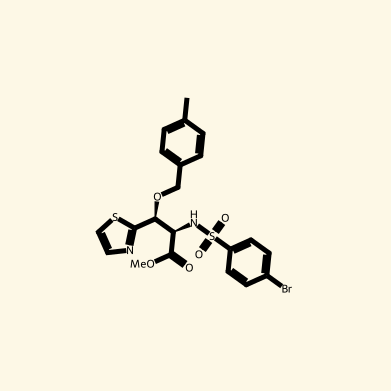 COC(=O)[C@H](NS(=O)(=O)c1ccc(Br)cc1)[C@H](OCc1ccc(C)cc1)c1nccs1